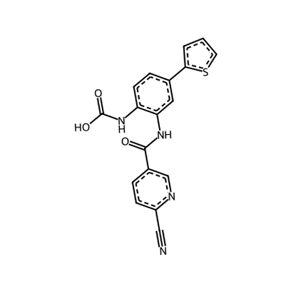 N#Cc1ccc(C(=O)Nc2cc(-c3cccs3)ccc2NC(=O)O)cn1